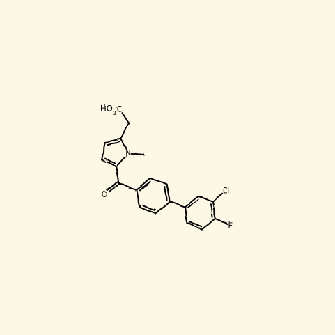 Cn1c(CC(=O)O)ccc1C(=O)c1ccc(-c2ccc(F)c(Cl)c2)cc1